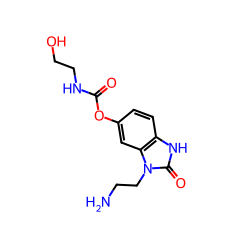 NCCn1c(=O)[nH]c2ccc(OC(=O)NCCO)cc21